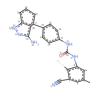 Cc1cc(C#N)c(F)c(NC(=O)Nc2ccc(-c3cccc4[nH]nc(N)c34)cc2)c1